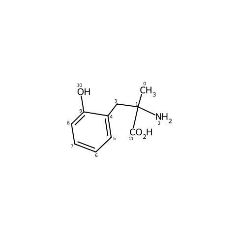 CC(N)(Cc1ccccc1O)C(=O)O